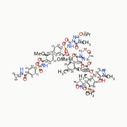 CCCOc1nn(C(=O)NS(=O)(=O)c2ccccc2C(=O)OC)c(=O)n1C.CCc1cc(C)cc(CC)c1-c1c(OC(=O)C(C)(C)C)n2n(c1=O)CCOCC2.COc1ccccc1C(=O)NS(=O)(=O)c1ccc(C(=O)NC2CC2)cc1.Cc1c(C(=O)c2cnn(C)c2O)ccc(S(C)(=O)=O)c1C1=NOCC1